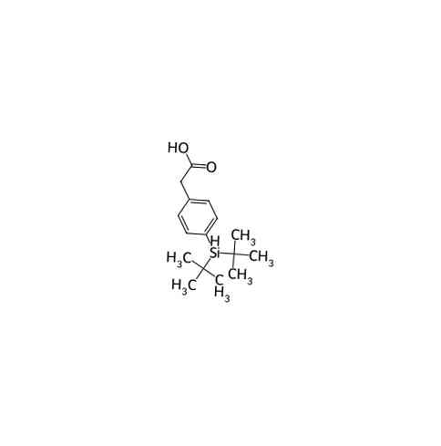 CC(C)(C)[SiH](c1ccc(CC(=O)O)cc1)C(C)(C)C